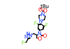 CC(C)(C)OC(=O)N1CCN(c2c(F)cc(N3C(=O)OCC3Cn3cc(CF)nn3)cc2F)CC1